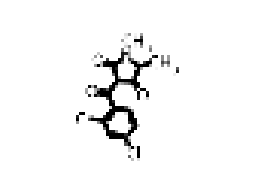 CC1C(=O)C(C(=O)c2ccc(Cl)cc2Cl)C(=O)N1C